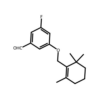 CC1=C(COc2cc(F)cc(C=O)c2)C(C)(C)CCC1